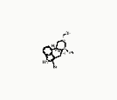 CCCN1C[C@@H](CO)C[C@@H]2c3cccc4[nH]c(Br)c(c34)C[C@H]21